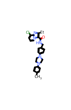 CCc1nc2c(Cl)cccn2c1C(=O)NCc1ccc(N2CCN(c3ccc(C)cc3)CC2)cc1